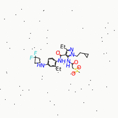 CCc1cc(NC2CC(F)(F)C2)ccc1NC(=O)c1c(CC)nn(CCC2CC2)c1NC(=O)CS(C)(=O)=O